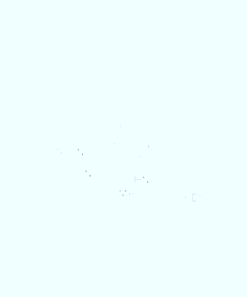 CCOC(=O)CNC(=O)C1=C(SC)NN2SC3=C(CCCC3)C2C1=O